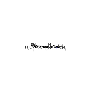 CC(C)/C=C/COCCNCC(=O)CCCOCSSCCNC(C)C